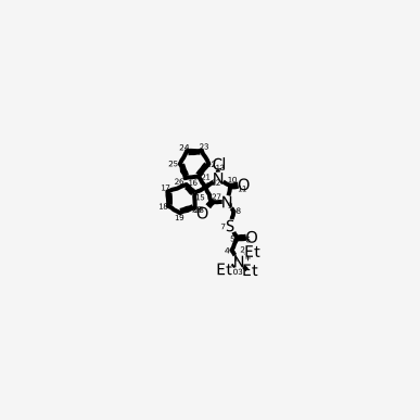 CC[N+](CC)(CC)CC(=O)SCN1C(=O)N(Cl)C(c2ccccc2)(c2ccccc2)C1=O